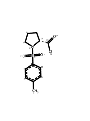 Cc1ccc(S(=O)(=O)N2CCC[C@@H]2C(=O)Cl)cc1